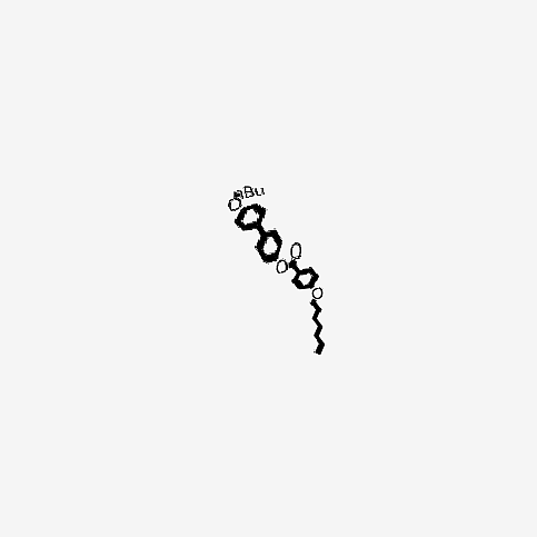 C=CCCCCCOc1ccc(C(=O)Oc2ccc(-c3ccc(OCCCC)cc3)cc2)cc1